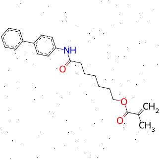 C=C(C)C(=O)OCCCCCCC(=O)Nc1ccc(-c2ccccc2)cc1